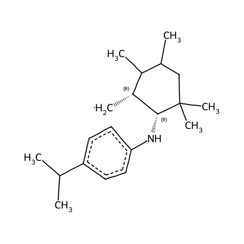 [CH2][C@@H]1C(C)C(C)CC(C)(C)[C@@H]1Nc1ccc(C(C)C)cc1